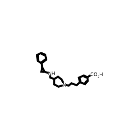 O=C(O)c1ccc(CCCN2CCC(CNC3CC3c3ccccc3)CC2)cc1